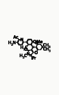 COc1ccc(-c2ccc(N)c(C(C)=O)n2)c(C)c1[C@H]1C2=C(CC(C)(C)CC2=O)OC2=C1C(=O)N(C)[C@@H]2C(C)C